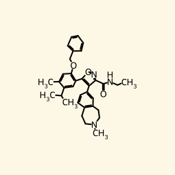 CCNC(=O)c1noc(-c2cc(C(C)C)c(C)cc2OCc2ccccc2)c1-c1ccc2c(c1)CCN(C)CC2